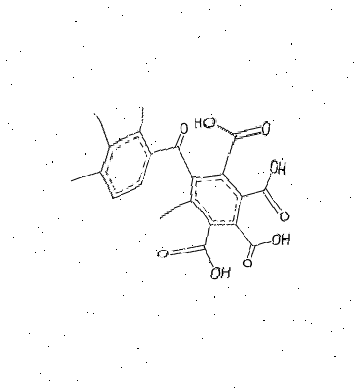 Cc1ccc(C(=O)c2c(C)c(C(=O)O)c(C(=O)O)c(C(=O)O)c2C(=O)O)c(C)c1C